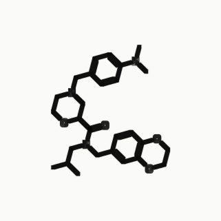 CC(C)CN(Cc1ccc2c(c1)OCCO2)C(=O)C1CN(Cc2ccc(N(C)C)cc2)CCO1